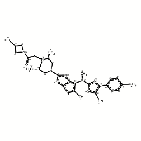 CCc1nc2sc(N3C[C@H](C)N(CC(=O)N4CC(O)C4)[C@@H](C)C3)nn2c1N(C)c1nc(-c2ccc(C)cc2)c(C#N)s1